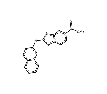 COC(=O)c1ccc2nc(Nc3ccc4ccccc4c3)sc2c1